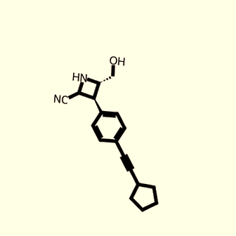 N#CC1N[C@H](CO)[C@H]1c1ccc(C#CC2CCCC2)cc1